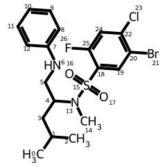 CC(C)CC(CNc1ccccc1)N(C)S(=O)(=O)c1cc(Br)c(Cl)cc1F